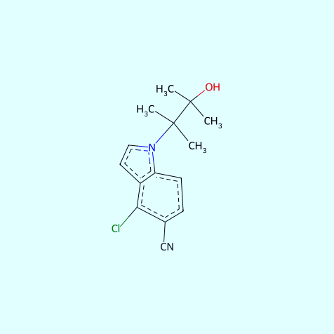 CC(C)(O)C(C)(C)n1ccc2c(Cl)c(C#N)ccc21